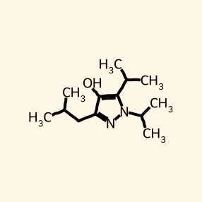 CC(C)Cc1nn(C(C)C)c(C(C)C)c1O